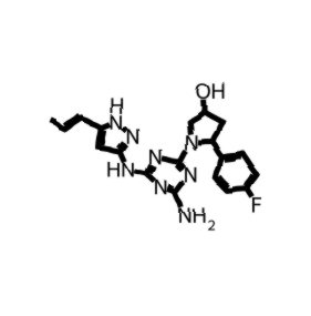 C/C=C/c1cc(Nc2nc(N)nc(N3CC(O)CC3c3ccc(F)cc3)n2)n[nH]1